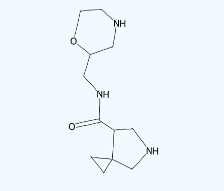 O=C(NCC1CNCCO1)C1CNCC12CC2